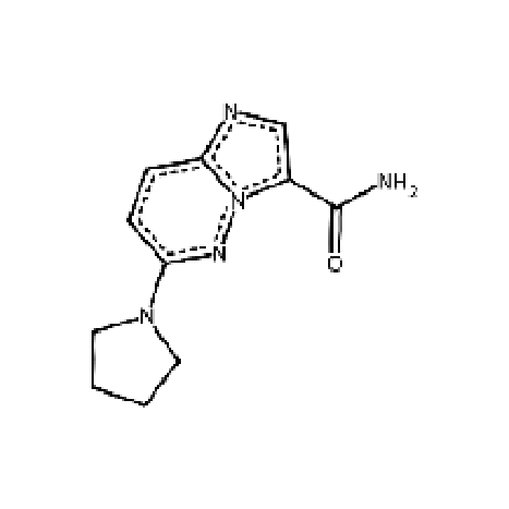 NC(=O)c1cnc2ccc(N3CCCC3)nn12